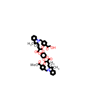 COC(=O)c1ccc(CN2/C(=C/C=C3C(=O)OC4(CCC5(CC4)OC(=O)C(=C/C=C4/N(Cc6ccc(C(=O)CO)cc6)c6ccccc6C4(C)C)C(=O)O5)OC3=O)C(C)(C)c3ccccc32)cc1